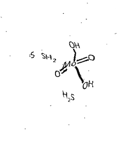 S.S.[O]=[Mo](=[O])([OH])[OH].[S]